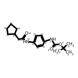 CC(C)(C)OC(=O)Nc1ccc(NC(=O)CC2CCCC2)cc1